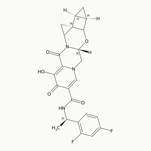 C[C@@H](NC(=O)c1cn2c(c(O)c1=O)C(=O)N1C3C[C@]34C(O[C@@H]1C2)[C@@H]1C[C@@H]14)c1ccc(F)cc1F